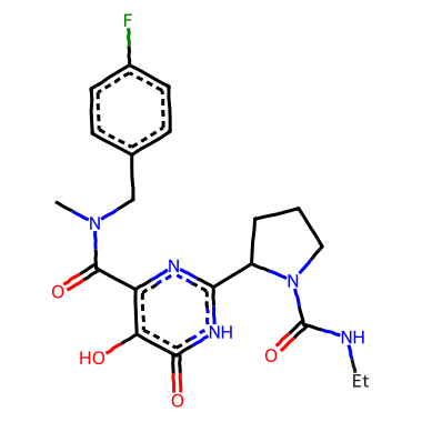 CCNC(=O)N1CCCC1c1nc(C(=O)N(C)Cc2ccc(F)cc2)c(O)c(=O)[nH]1